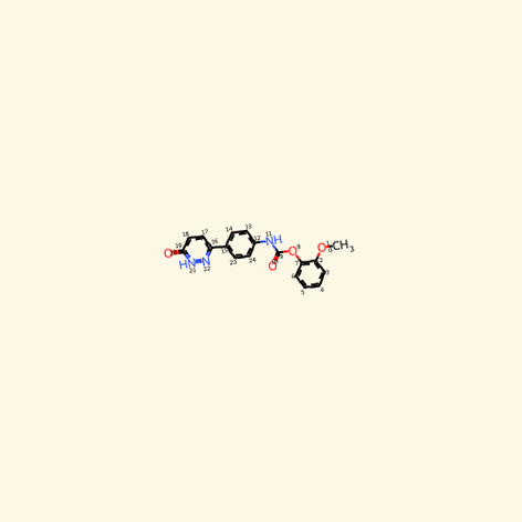 COc1ccccc1OC(=O)Nc1ccc(-c2ccc(=O)[nH]n2)cc1